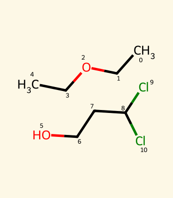 CCOCC.OCCC(Cl)Cl